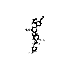 C[C@@H]1CN(c2ccc(C#N)n3ncc(F)c23)Cc2c3c(nn21)CN(C(=O)CN1CCC(O)C1)[C@@H](C)C3